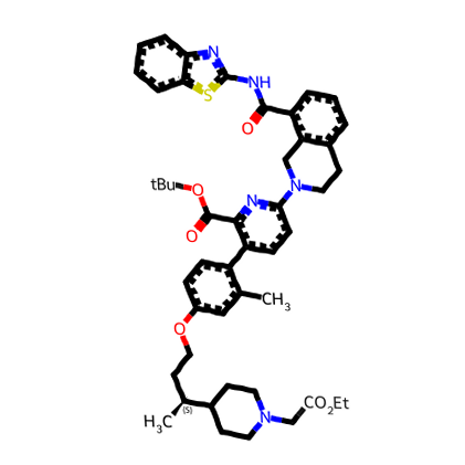 CCOC(=O)CN1CCC([C@@H](C)CCOc2ccc(-c3ccc(N4CCc5cccc(C(=O)Nc6nc7ccccc7s6)c5C4)nc3C(=O)OC(C)(C)C)c(C)c2)CC1